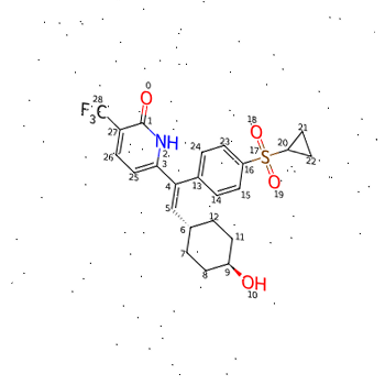 O=c1[nH]c(C(=C[C@H]2CC[C@H](O)CC2)c2ccc(S(=O)(=O)C3CC3)cc2)ccc1C(F)(F)F